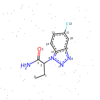 CCC(C(N)=O)n1nnc2cc(F)ccc21